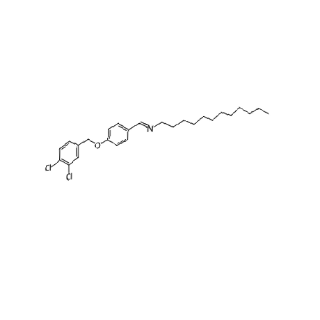 CCCCCCCCCCCC/N=C/c1ccc(OCc2ccc(Cl)c(Cl)c2)cc1